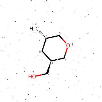 C[C@@H]1COC[C@@H](CO)C1